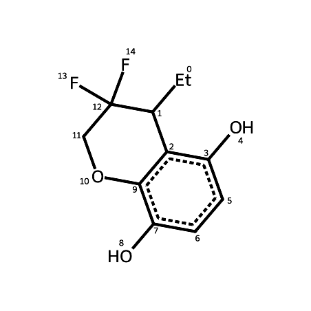 CCC1c2c(O)ccc(O)c2OCC1(F)F